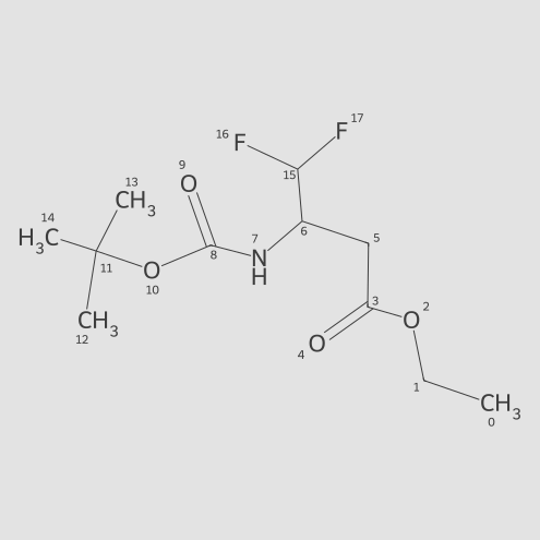 CCOC(=O)CC(NC(=O)OC(C)(C)C)C(F)F